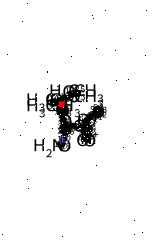 CC(C)(C)OC(=O)CCC(=O)OC(C)(C)C.NC(=O)/C=C/c1ccc(OCc2ccccc2)c(CCOc2cc([N+](=O)[O-])ccc2C(=O)OCc2ccccc2)c1